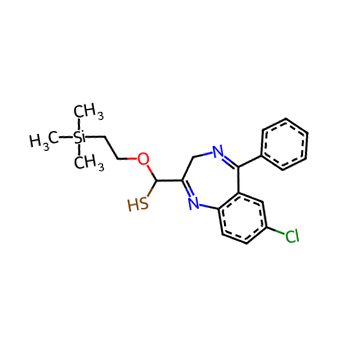 C[Si](C)(C)CCOC(S)C1=Nc2ccc(Cl)cc2C(c2ccccc2)=NC1